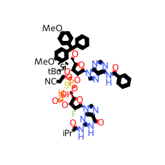 COc1ccc(C(OC[C@H]2O[C@@H](n3cnc4c(NC(=O)c5ccccc5)ncnc43)[C@H](OP(=S)(OCCC#N)OC[C@H]3O[C@@H](n4cnc5c(=O)[nH]c(NC(=O)C(C)C)nc54)[C@H](F)[C@@H]3O[PH](=O)O)[C@@H]2O[Si](C)(C)C(C)(C)C)(c2ccccc2)c2ccc(OC)cc2)cc1